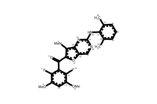 CNc1c(C(=O)c2c(F)c(OC)cc(OC)c2F)oc2cnc(Nc3c(C)cccc3C)nc12